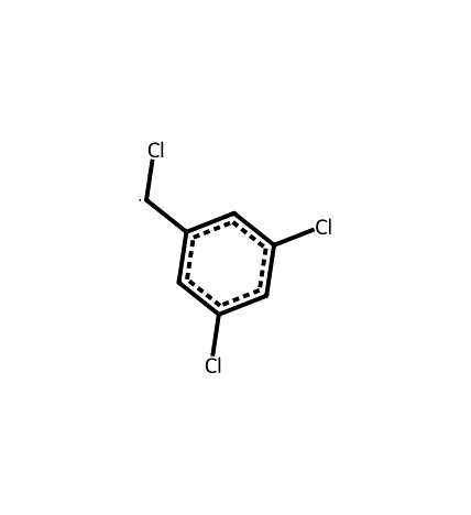 Cl[CH]c1cc(Cl)cc(Cl)c1